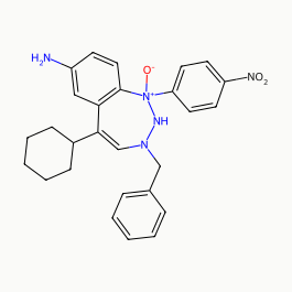 Nc1ccc2c(c1)C(C1CCCCC1)=CN(Cc1ccccc1)N[N+]2([O-])c1ccc([N+](=O)[O-])cc1